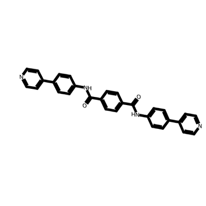 O=C(Nc1ccc(-c2ccncc2)cc1)c1ccc(C(=O)Nc2ccc(-c3ccncc3)cc2)cc1